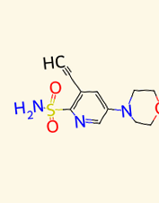 C#Cc1cc(N2CCOCC2)cnc1S(N)(=O)=O